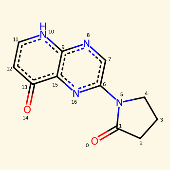 O=C1CCCN1c1cnc2[nH]ccc(=O)c2n1